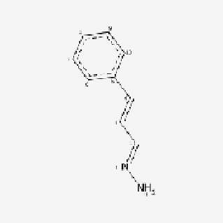 NN=CC=Cc1ccccc1